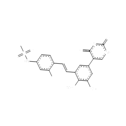 COc1c(/C=C/c2ccc(NS(C)(=O)=O)cc2F)cc(-c2c[nH]c(=O)[nH]c2=O)cc1C(C)(C)C